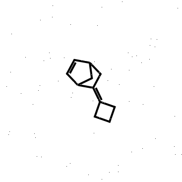 C1=CC2CC1CC2=C1CCC1